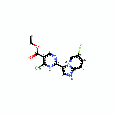 CCOC(=O)c1cnc(-c2cnc3ccc(F)cn23)nc1Cl